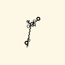 CN(C)CC(CC(=O)OCc1ccccc1)NC(=O)CCCCCCCCOc1cccc(F)c1